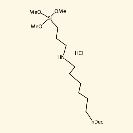 CCCCCCCCCCCCCCCCNCCC[Si](OC)(OC)OC.Cl